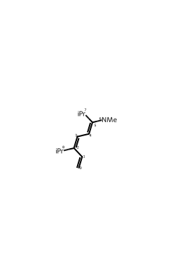 C=C/C(=C\C=C(\NC)C(C)C)C(C)C